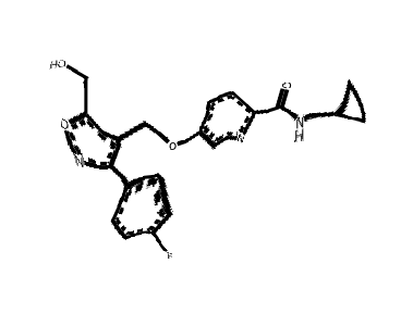 O=C(NC1CC1)c1ccc(OCc2c(-c3ccc(F)cc3)noc2CO)cn1